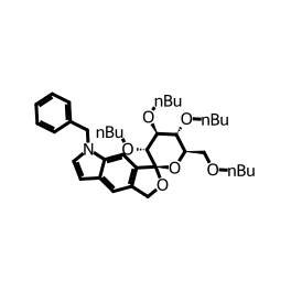 CCCCOC[C@H]1O[C@]2(OCc3cc4ccn(Cc5ccccc5)c4cc32)[C@H](OCCCC)[C@@H](OCCCC)[C@@H]1OCCCC